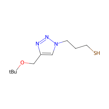 CC(C)(C)OCc1cn(CCCS)nn1